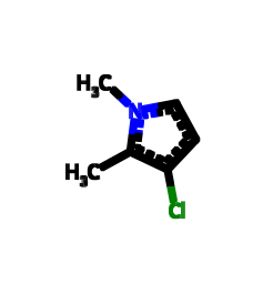 Cc1c(Cl)ccn1C